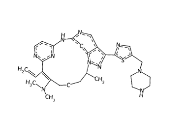 C=C/C1=C(\N(C)C)CCCC(C)n2nc(-c3ncc(CN4CCNCC4)s3)c3cnc(cc32)Nc2ccnc1n2